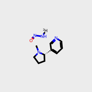 CN1CCC[C@H]1c1cccnc1.[2H]NN=O